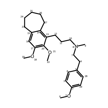 COc1ccc(CCN(C)CCCc2c3c(cc(OC)c2OC)CCCCC3)cc1